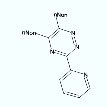 CCCCCCCCCc1nnc(-c2ccccn2)nc1CCCCCCCCC